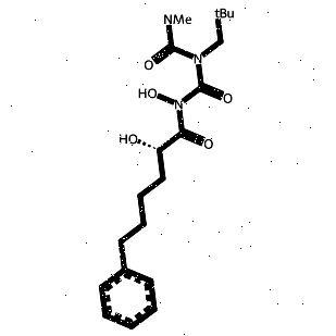 CNC(=O)N(CC(C)(C)C)C(=O)N(O)C(=O)[C@@H](O)CCCCc1ccccc1